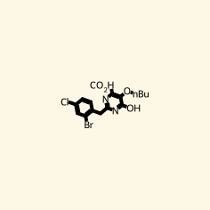 CCCCOc1c(O)nc(Cc2ccc(Cl)cc2Br)nc1C(=O)O